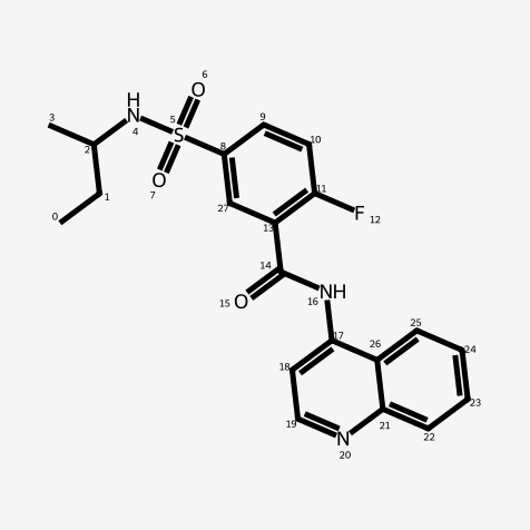 CCC(C)NS(=O)(=O)c1ccc(F)c(C(=O)Nc2ccnc3ccccc23)c1